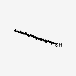 CC(C)=CCC/C(C)=C/C=C/C(C)=C/C=C/C(C)=C/C=C/C=C(C)/C=C/C=C(C)/C=C/C=C(\C)CC/C=C(\C)CCCO